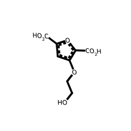 O=C(O)c1cc(OCCO)c(C(=O)O)o1